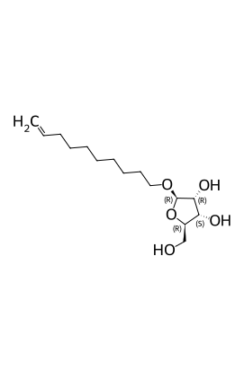 C=CCCCCCCCCO[C@@H]1O[C@H](CO)[C@@H](O)[C@H]1O